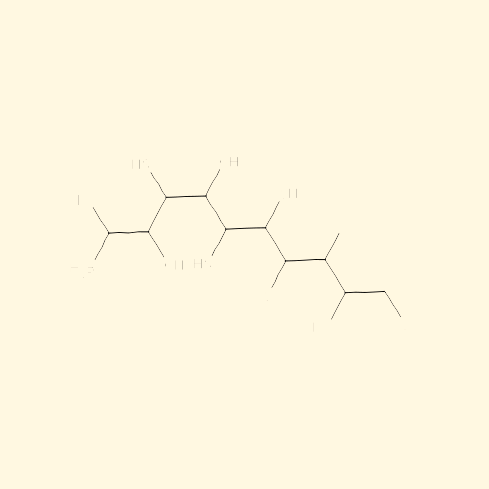 BC(CC)C(C)C(S)C(C)C(S)C(S)C(S)C(S)C(S)CS